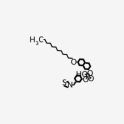 CCCCCCCCCCCCOc1ccc2ccc(OP(=O)(O)Oc3cccc(C[n+]4ccsc4)c3)cc2c1